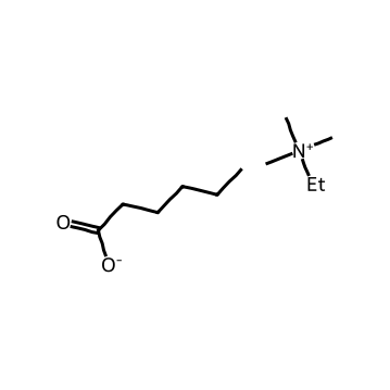 CCCCCC(=O)[O-].CC[N+](C)(C)C